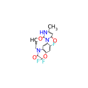 C#CCN1C(=O)C(F)(F)Oc2cc(F)c(-n3c(=O)cc(C)[nH]c3=O)cc21